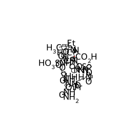 CCC1C2CC3(C)CC(OCCN(C)C(=O)[C@H](CS(=O)(=O)O)NC(=O)OCc4ccc(NC(=O)[C@H](CCCNC(N)=O)NC(=O)[C@@H](NC(=O)CCCCCN5C(=O)C=CC5=O)C(C)C)cc4)(C2)CC1(Cn1ncc(-c2ccc(-c4ccc5c(c4)N(C(=O)Nc4nc6ccccc6s4)CCC5)nc2C(=O)O)c1C)C3